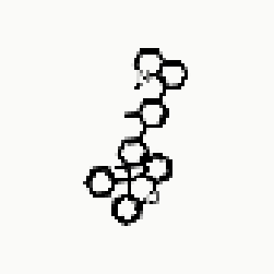 CC1C=C(C2=C3C(=CCC2)C=CCN3C)C=CC1C1=CCC(C)(C2(C3=CC=CCC3)c3ccccc3Oc3ccccc32)C=C1